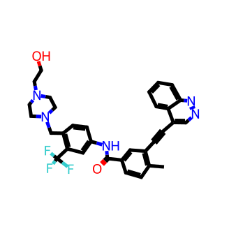 Cc1ccc(C(=O)Nc2ccc(CN3CCN(CCO)CC3)c(C(F)(F)F)c2)cc1C#Cc1cnnc2ccccc12